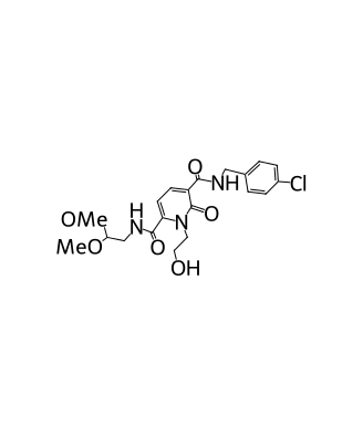 COC(CNC(=O)c1ccc(C(=O)NCc2ccc(Cl)cc2)c(=O)n1CCO)OC